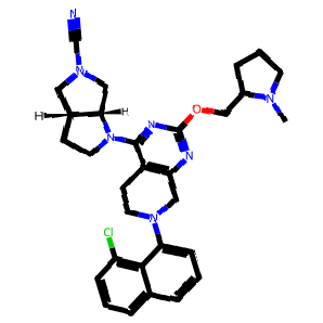 CN1CCCC1COc1nc2c(c(N3CC[C@@H]4CN(C#N)C[C@@H]43)n1)CCN(c1cccc3cccc(Cl)c13)C2